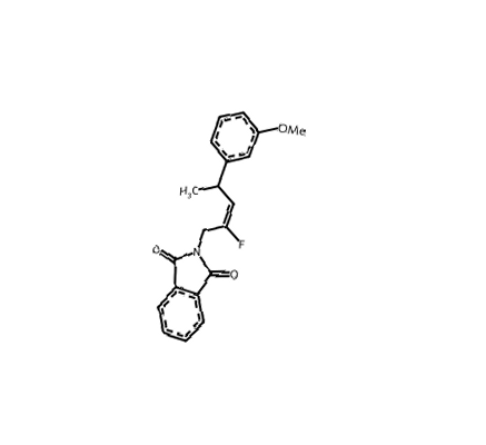 COc1cccc(C(C)/C=C(/F)CN2C(=O)c3ccccc3C2=O)c1